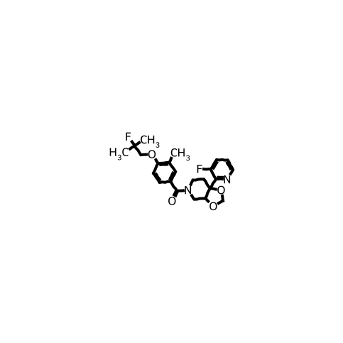 Cc1cc(C(=O)N2CCC3(c4ncccc4F)OCOC3C2)ccc1OCC(C)(C)F